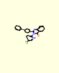 O=c1c2ccccc2nc(-c2ccc(-c3ccccc3)cc2)n1-c1ccc(Cl)cn1